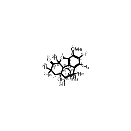 [2H]c1c([2H])c2c3c(c1OC)OC1([2H])C(=O)C([2H])([2H])C[C@@]4(O)[C@H](N(C)CC[C@]314)C2([2H])[2H]